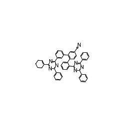 N#Cc1ccc(-c2ccccc2-c2nc(-c3ccccc3)nc(-c3ccccc3)n2)c(-c2cccc(-c3nc(C4=CCCCC4)nc(-c4ccccc4)n3)c2)c1